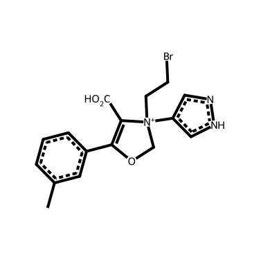 Cc1cccc(C2=C(C(=O)O)[N+](CCBr)(c3cn[nH]c3)CO2)c1